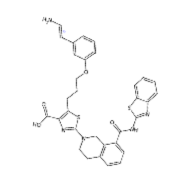 N/C=C/c1cccc(OCCCc2sc(N3CCc4cccc(C(=O)Nc5nc6ccccc6s5)c4C3)nc2C(=O)O)c1